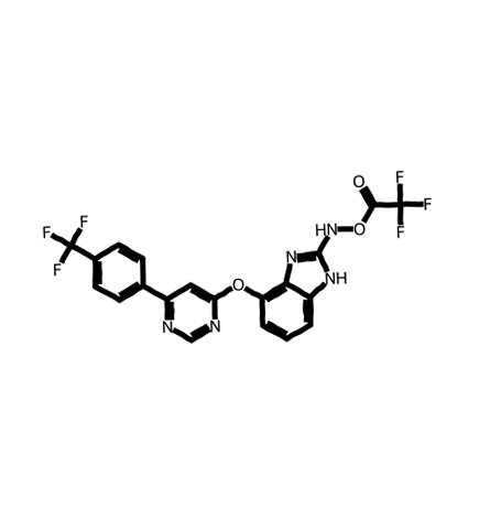 O=C(ONc1nc2c(Oc3cc(-c4ccc(C(F)(F)F)cc4)ncn3)cccc2[nH]1)C(F)(F)F